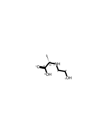 C[C@H](NCCO)C(=O)O